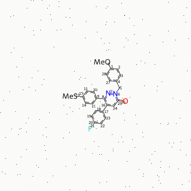 COc1ccc(Cn2nc(-c3ccc(SC)cc3)c(-c3ccc(F)cc3)cc2=O)cc1